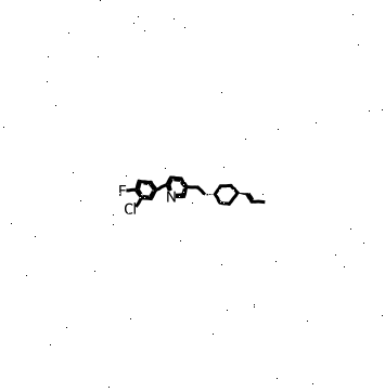 C/C=C/[C@H]1CC[C@H](CCc2ccc(-c3ccc(F)c(Cl)c3)nc2)CC1